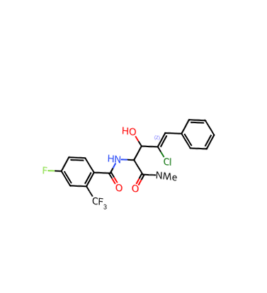 CNC(=O)C(NC(=O)c1ccc(F)cc1C(F)(F)F)C(O)/C(Cl)=C/c1ccccc1